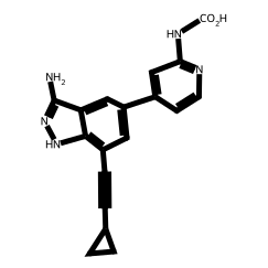 Nc1n[nH]c2c(C#CC3CC3)cc(-c3ccnc(NC(=O)O)c3)cc12